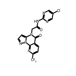 O=C(Cn1c(=O)c2ccc(C(F)(F)F)nc2n2nccc12)Nc1ncc(Cl)cn1